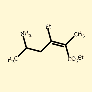 CCOC(=O)C(C)=C(CC)CC(C)N